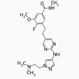 CNC(=O)c1cc(CCc2cnc(Nc3cnn(CCN(C)C)c3)nc2)c(F)c(OC)c1